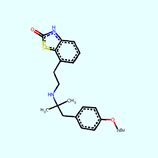 CCCCOc1ccc(CC(C)(C)NCCc2cccc3[nH]c(=O)sc23)cc1